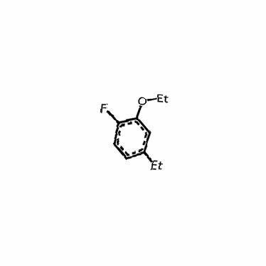 CCOc1cc(CC)ccc1F